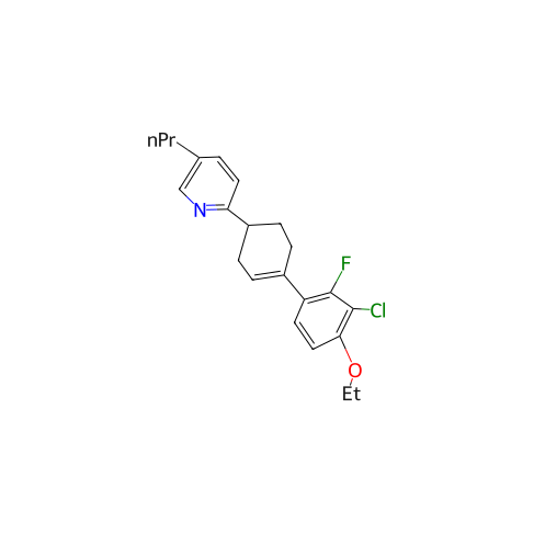 CCCc1ccc(C2CC=C(c3ccc(OCC)c(Cl)c3F)CC2)nc1